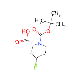 CC(C)(C)OC(=O)N1CC[C@@H](F)C[C@@H]1C(=O)O